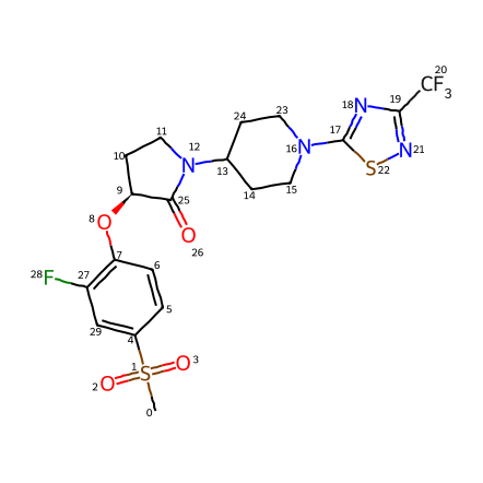 CS(=O)(=O)c1ccc(O[C@H]2CCN(C3CCN(c4nc(C(F)(F)F)ns4)CC3)C2=O)c(F)c1